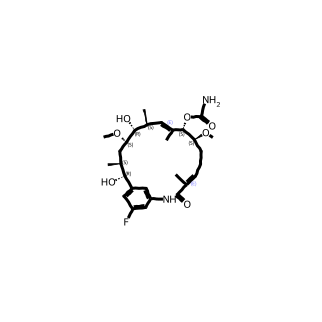 CO[C@H]1C[C@H](C)[C@@H](O)c2cc(F)cc(c2)NC(=O)/C(C)=C/CC[C@H](OC)[C@@H](OC(N)=O)/C(C)=C/[C@H](C)[C@H]1O